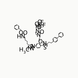 C[n+]1nn(-c2ccc(-c3nc(CCc4ccc(-c5ccccc5)cc4)cs3)c(OCCN3CCNC3=O)c2)cc1CCCCNC(=O)OCc1ccccc1.O=S(=O)([O-])C(F)(F)F